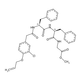 C=CCOc1ccc(CC(=O)N[C@@H](Cc2ccccc2)C(=O)N[C@@H](Cc2ccccc2)C(=O)NCC(=O)OC)cc1Cl